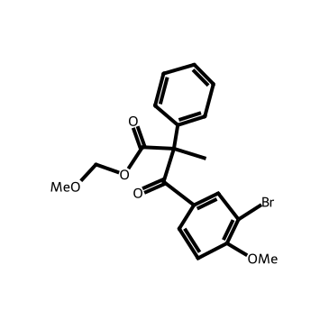 COCOC(=O)C(C)(C(=O)c1ccc(OC)c(Br)c1)c1ccccc1